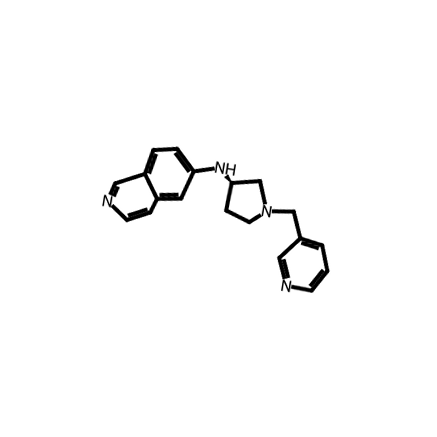 c1cncc(CN2CC[C@@H](Nc3ccc4cnccc4c3)C2)c1